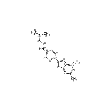 Cc1cc(C)c2c(c1)CC(c1ccc(NCCN(C)C)cc1)=C2